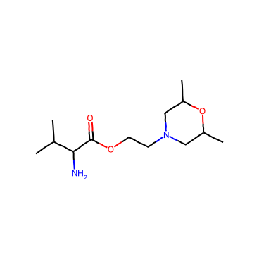 CC1CN(CCOC(=O)C(N)C(C)C)CC(C)O1